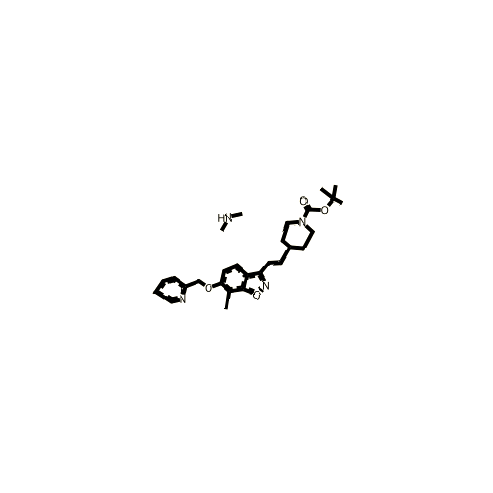 CNC.Cc1c(OCc2ccccn2)ccc2c(CCC3CCN(C(=O)OC(C)(C)C)CC3)noc12